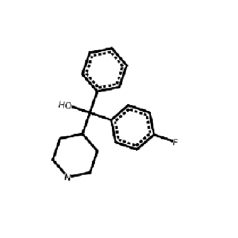 OC(c1ccccc1)(c1ccc(F)cc1)C1CC[N]CC1